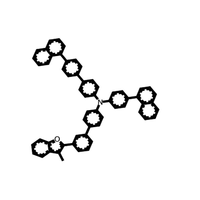 Cc1c(-c2cccc(-c3ccc(N(c4ccc(-c5ccc(-c6cccc7ccccc67)cc5)cc4)c4ccc(-c5cccc6ccccc56)cc4)cc3)c2)oc2ccccc12